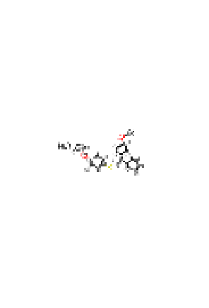 CCOc1ccc(/C(=C\CSc2ccc(OCC(=O)O)c(C)c2)c2ccccc2)cc1